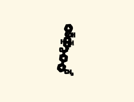 Cc1cccc(-c2ccc(C(=O)CN3C[C@@H]4CC(O)(Cc5ccccc5)C[C@@H]4C3)cc2)c1